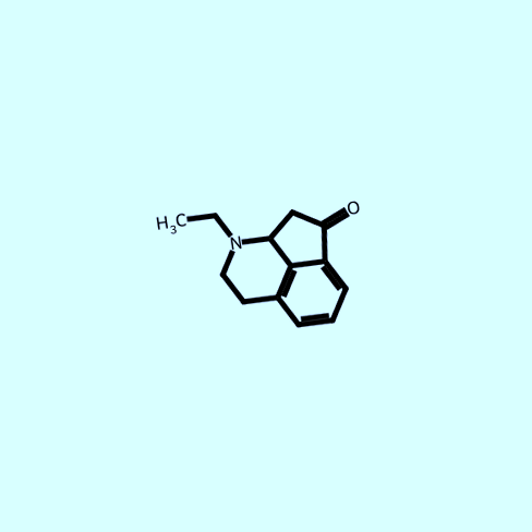 CCN1CCc2cccc3c2C1CC3=O